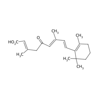 CC(C=CC1=C(C)CCCC1(C)C)=CC(=O)CC(C)=CC(=O)O